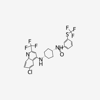 O=C(N[C@H]1CC[C@@H](Nc2cc(C(F)(F)F)nc3ccc(Cl)cc23)CC1)c1cccc(SC(F)(F)F)c1